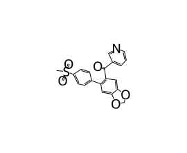 CS(=O)(=O)c1ccc(-c2cc3c(cc2C(=O)c2cccnc2)OCO3)cc1